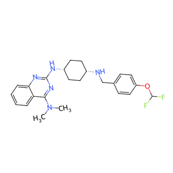 CN(C)c1nc(N[C@H]2CC[C@@H](NCc3ccc(OC(F)F)cc3)CC2)nc2ccccc12